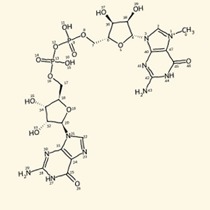 C[n+]1cn([C@@H]2O[C@H](COP(=O)(O)OP(=O)(O)OC[C@H]3O[C@@H](n4cnc5c(=O)[nH]c(N)nc54)[C@H](O)[C@@H]3O)[C@@H](O)[C@H]2O)c2nc(N)[nH]c(=O)c21